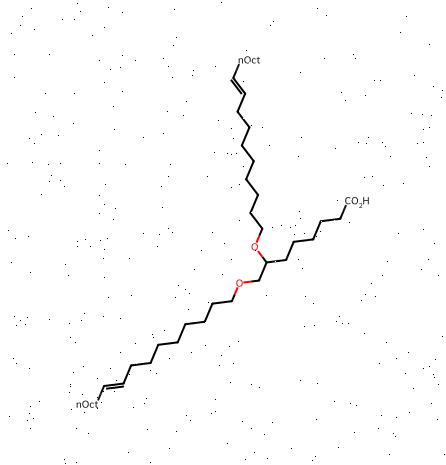 CCCCCCCCC=CCCCCCCCCOCC(CCCCCC(=O)O)OCCCCCCCCC=CCCCCCCCC